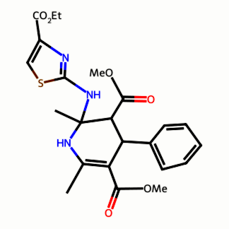 CCOC(=O)c1csc(NC2(C)NC(C)=C(C(=O)OC)C(c3ccccc3)C2C(=O)OC)n1